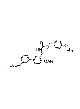 COc1ccc(-c2cccc(CC(=O)O)c2)cc1CNC(=O)OCc1ccc(OC(F)(F)F)cc1